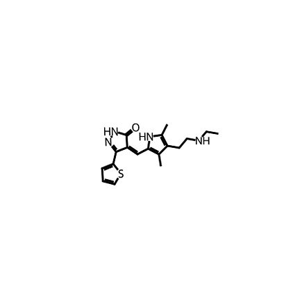 CCNCCc1c(C)[nH]c(C=C2C(=O)NN=C2c2cccs2)c1C